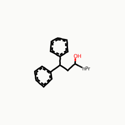 CCCC(O)CC(c1ccccc1)c1ccccc1